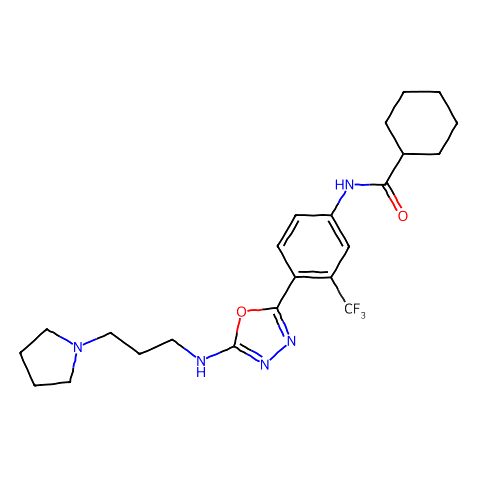 O=C(Nc1ccc(-c2nnc(NCCCN3CCCC3)o2)c(C(F)(F)F)c1)C1CCCCC1